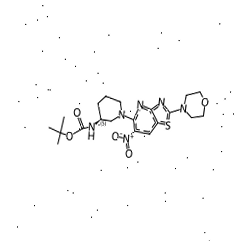 CC(C)(C)OC(=O)N[C@H]1CCCN(c2nc3nc(N4CCOCC4)sc3cc2[N+](=O)[O-])C1